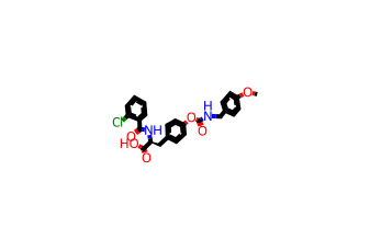 COc1ccc(CNC(=O)Oc2ccc(C[C@H](NC(=O)c3ccccc3Cl)C(=O)O)cc2)cc1